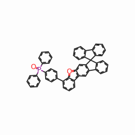 O=P(c1ccccc1)(c1ccccc1)c1ccc(-c2cccc3c2oc2cc4c(cc23)-c2ccccc2C42c3ccccc3-c3ccccc32)cc1